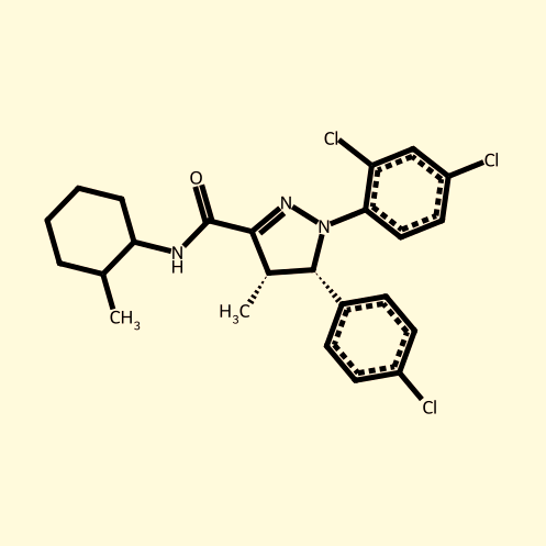 CC1CCCCC1NC(=O)C1=NN(c2ccc(Cl)cc2Cl)[C@H](c2ccc(Cl)cc2)[C@@H]1C